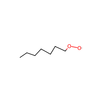 CCCCCCCO[O]